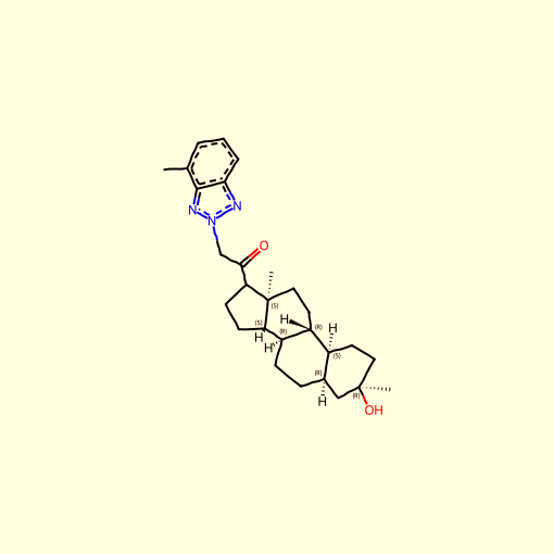 Cc1cccc2nn(CC(=O)C3CC[C@H]4[C@@H]5CC[C@@H]6C[C@](C)(O)CC[C@@H]6[C@H]5CC[C@]34C)nc12